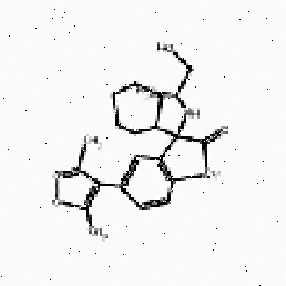 Cc1noc(C)c1-c1ccc2c(c1)C(N[C@@H](C)CO)(C1CCCCC1)C(=O)N2